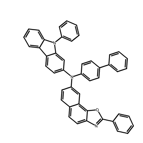 c1ccc(-c2ccc(N(c3ccc4ccc5nc(-c6ccccc6)oc5c4c3)c3ccc4c5ccccc5n(-c5ccccc5)c4c3)cc2)cc1